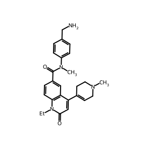 CCn1c(=O)cc(C2=CCN(C)CC2)c2cc(C(=O)N(C)c3ccc(CN)cc3)ccc21